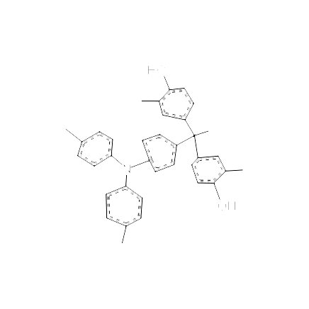 Cc1ccc(N(c2ccc(C)cc2)c2ccc(C(C)(c3ccc(O)c(C)c3)c3ccc(O)c(C)c3)cc2)cc1